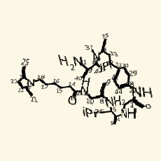 C=C(CNC(=C)C(NC(=C)CNC(=O)CCCCCn1c(=C)ccc1=C)C(C)C)Nc1ccc(CCC(=C)N(C)C(C(=C)N)C(C)C)cc1